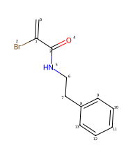 C=C(Br)C(=O)NCCc1ccccc1